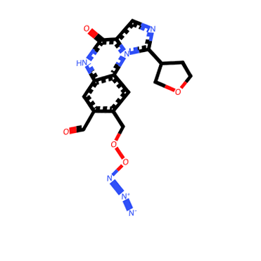 [N-]=[N+]=NOOCc1cc2c(cc1C=O)[nH]c(=O)c1cnc(C3CCOC3)n12